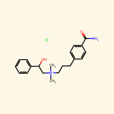 C[N+](C)(CCCc1ccc(C(N)=O)cc1)CC(O)c1ccccc1.[Cl-]